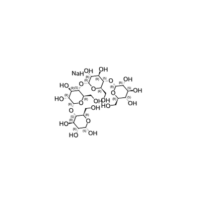 OC[C@H]1O[C@H](O[C@H]2[C@H](O)[C@@H](O)[C@@H](O[C@H]3[C@H](O)[C@@H](O)[C@@H](O[C@H]4[C@H](O)[C@@H](O)[C@@H](O)O[C@@H]4CO)O[C@@H]3CO)O[C@@H]2CO)[C@H](O)[C@@H](O)[C@@H]1O.[NaH]